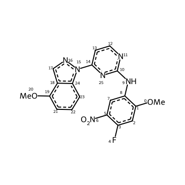 COc1cc(F)c([N+](=O)[O-])cc1Nc1nccc(-n2ncc3c(OC)cccc32)n1